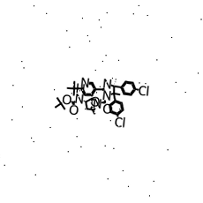 CCOc1cc(C(C)(C)C)ncc1C1=N[C@@](C)(c2ccc(Cl)cc2)C(C)(c2ccc(Cl)cc2)N1C(=O)N1CC[C@H](NC(=O)OC(C)(C)C)C1